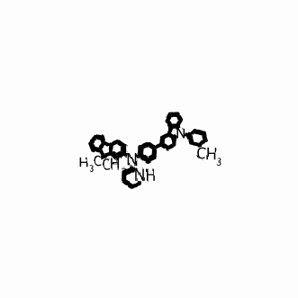 CC1C=C(n2c3ccccc3c3cc(-c4ccc(N(C5=CC=CCN5)c5ccc6c(c5)C(C)(C)c5ccccc5-6)cc4)ccc32)C=CC1